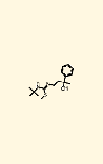 CS/C(=N\CCC(C)(O)c1ccccc1)NC(C)(C)C